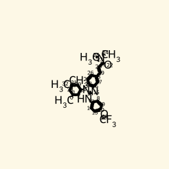 C[C@H]1C[C@H](n2c(Nc3ccc(OC(F)(F)F)cc3)nc3cc(/C=C/C(=O)N(C)C)ccc32)CC(C)(C)C1